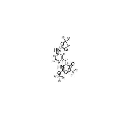 CC(C)OC(=O)C(Cc1cccc(NC(=O)OC(C)(C)C)c1)NC(=O)OC(C)(C)C